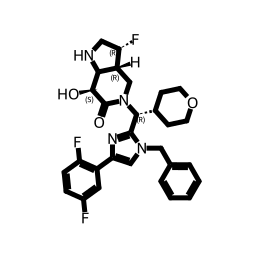 O=C1[C@@H](O)C2NC[C@H](F)[C@@H]2CN1[C@@H](c1nc(-c2cc(F)ccc2F)cn1Cc1ccccc1)C1CCOCC1